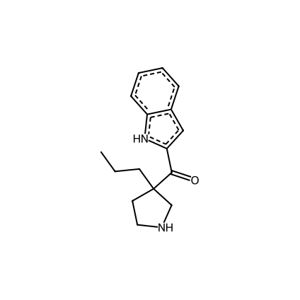 CCCC1(C(=O)c2cc3ccccc3[nH]2)CCNC1